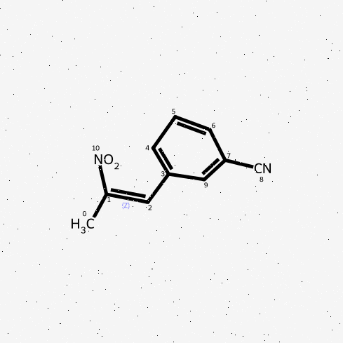 C/C(=C/c1cccc(C#N)c1)[N+](=O)[O-]